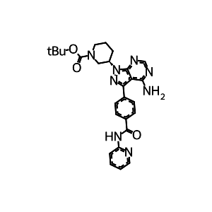 CC(C)(C)OC(=O)N1CCC[C@@H](n2nc(-c3ccc(C(=O)Nc4ccccn4)cc3)c3c(N)ncnc32)C1